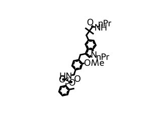 CCCNC(=O)C(C)(C)Cc1ccc2c(c1)c(Cc1ccc(C(=O)NS(=O)(=O)c3ccccc3C)cc1OC)cn2CCC